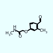 CNC(=O)COc1ccc(C=O)c(C)c1